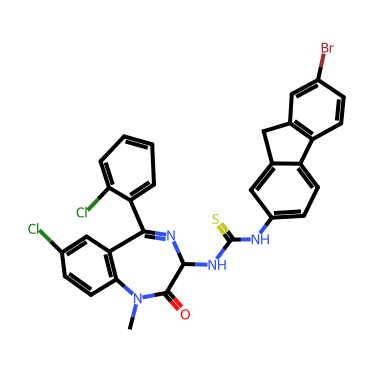 CN1C(=O)C(NC(=S)Nc2ccc3c(c2)Cc2cc(Br)ccc2-3)N=C(c2ccccc2Cl)c2cc(Cl)ccc21